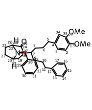 COc1ccc(CCCC(CCCc2ccccc2)N2C[C@H]3CC[C@@H](C2=O)N3Cc2ccccc2)cc1OC